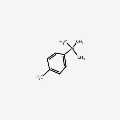 [CH2]c1ccc([Si](C)(C)C)cc1